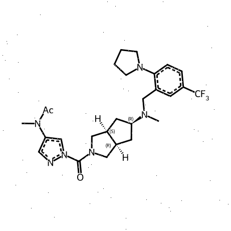 CC(=O)N(C)c1cnn(C(=O)N2C[C@H]3C[C@@H](N(C)Cc4cc(C(F)(F)F)ccc4N4CCCC4)C[C@H]3C2)c1